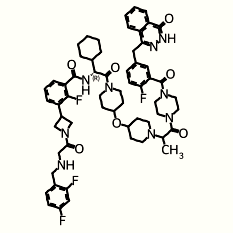 CC(C(=O)N1CCN(C(=O)c2cc(Cc3n[nH]c(=O)c4ccccc34)ccc2F)CC1)N1CCC(OC2CCN(C(=O)[C@H](NC(=O)c3cccc(C4CN(C(=O)CNCc5ccc(F)cc5F)C4)c3F)C3CCCCC3)CC2)CC1